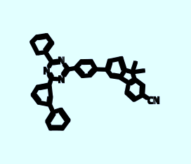 CC1(C)c2ccc(-c3ccc(-c4nc(C5=CC=CCC5)nc(-c5cccc(-c6ccccc6)c5)n4)cc3)cc2-c2ccc(C#N)cc21